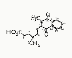 CC1=C(CCC(C)CCC(=O)O)C(=O)c2ccccc2C1=O